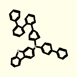 c1ccc(-c2ccc(N(c3ccc(-c4ccccc4-c4ccccc4-c4ccccc4)cc3)c3ccc4c(c3)oc3ccccc34)cc2)cc1